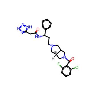 O=C(Cc1nnn[nH]1)NC(CCN1CC2CN(C(=O)c3c(F)cccc3Cl)C[C@@H]2C1)c1ccccc1